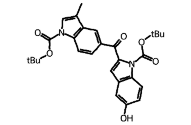 Cc1cn(C(=O)OC(C)(C)C)c2ccc(C(=O)c3cc4cc(O)ccc4n3C(=O)OC(C)(C)C)cc12